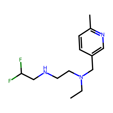 CCN(CCNCC(F)F)Cc1ccc(C)nc1